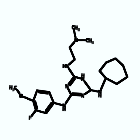 COc1ccc(NC2=NC(NC3CCCCCC3)NC(NCCN(C)C)=N2)cc1F